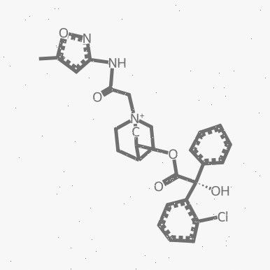 Cc1cc(NC(=O)C[N+]23CCC(CC2)C(OC(=O)[C@@](O)(c2ccccc2)c2ccccc2Cl)C3)no1